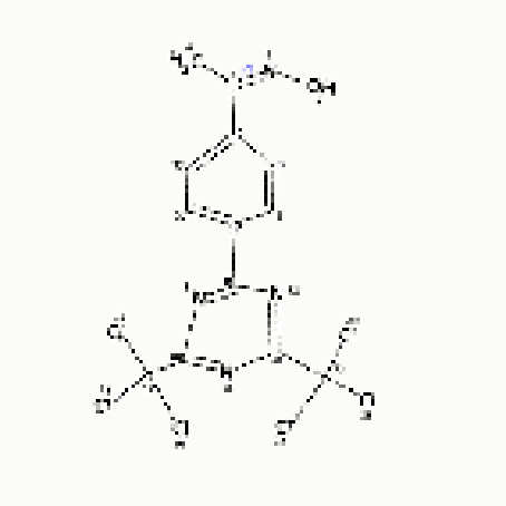 C/C(=N/O)c1ccc(-c2nc(C(Cl)(Cl)Cl)nc(C(Cl)(Cl)Cl)n2)cc1